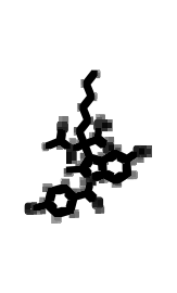 CCCCCCC(NC(C)=O)(C(=O)O)c1c(C)n(C(=O)c2ccc(Cl)cc2)c2ccc(O)cc12